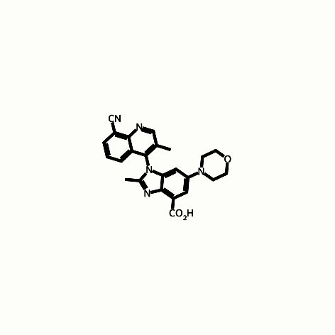 Cc1cnc2c(C#N)cccc2c1-n1c(C)nc2c(C(=O)O)cc(N3CCOCC3)cc21